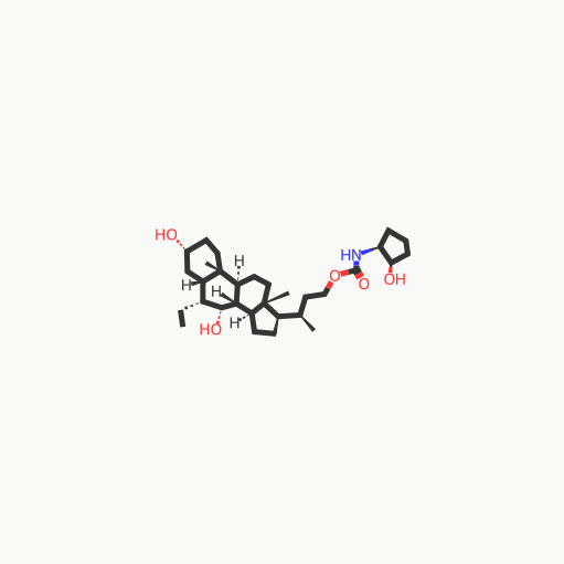 CC[C@H]1[C@@H](O)[C@@H]2[C@H](CC[C@]3(C)[C@@H]([C@H](C)CCOC(=O)N[C@H]4CCC[C@H]4O)CC[C@@H]23)[C@@]2(C)CC[C@@H](O)C[C@@H]12